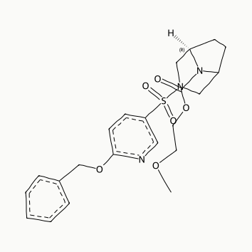 COCCOC(=O)N1C2CC[C@@H]1CN(S(=O)(=O)c1ccc(OCc3ccccc3)nc1)C2